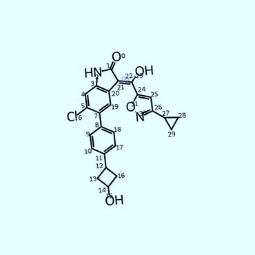 O=C1Nc2cc(Cl)c(-c3ccc(C4CC(O)C4)cc3)cc2/C1=C(/O)c1cc(C2CC2)no1